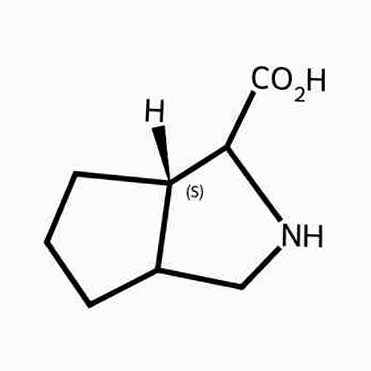 O=C(O)C1NCC2CCC[C@@H]21